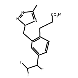 Cc1nnn(Cc2cc(C(F)C(F)F)ccc2CCC(=O)O)n1